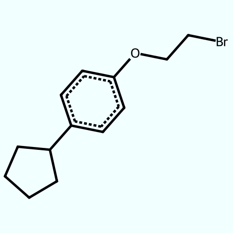 BrCCOc1ccc(C2CCCC2)cc1